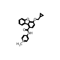 C[n+]1ccc(NC(=O)c2ccc(OCC3CC3)c3oc4ccccc4c23)cc1